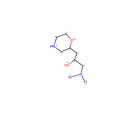 CCN(CC)CC(O)CC1CNCCO1